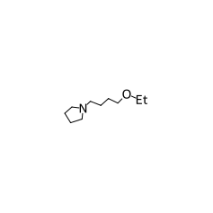 CCOCCCCN1CCCC1